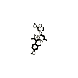 CCN(CC(=O)OC)c1cc(C)nc2c(-c3ccc(OC)cc3C)c(C)nn12